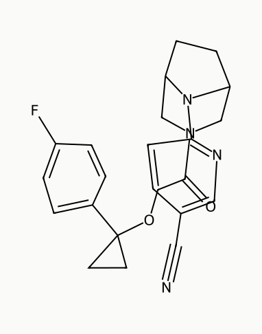 N#Cc1ccc(N2C3CCC2CN(C(=O)COC2(c4ccc(F)cc4)CC2)C3)nc1